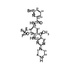 COc1cnc(N2CCNCC2)nc1Nc1ccc(NC(=O)c2cccc(Br)n2)cc1OC(F)(F)F